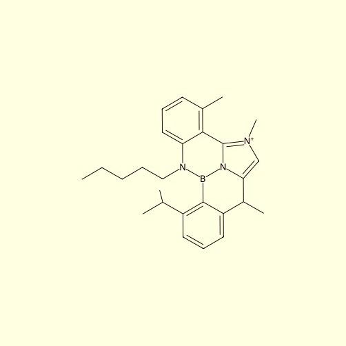 CCCCCN1B2c3c(C(C)C)cccc3C(C)c3c[n+](C)c(n32)-c2c(C)cccc21